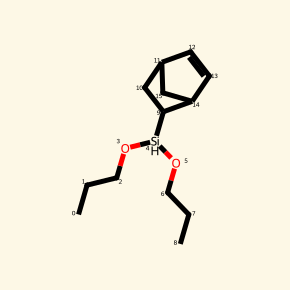 CCCO[SiH](OCCC)C1CC2C=CC1C2